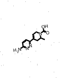 CC1CC(c2ccc(N)nn2)=CCN1C(=O)O